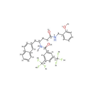 COc1ccccc1CNC(=O)CCC(Cc1ccc2ccccc2c1)N(C)C(=O)c1cc(C(F)(F)F)cc(C(F)(F)F)c1